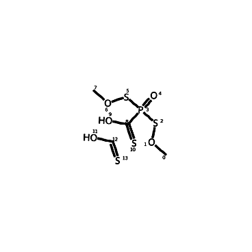 COSP(=O)(SOC)C(O)=S.OC=S